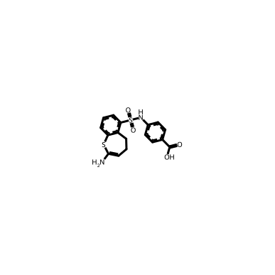 NC1=CCCc2c(cccc2S(=O)(=O)Nc2ccc(C(=O)O)cc2)S1